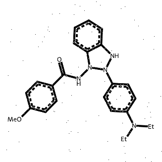 CCN(CC)c1ccc(N2Nc3ccccc3N2NC(=O)c2ccc(OC)cc2)cc1